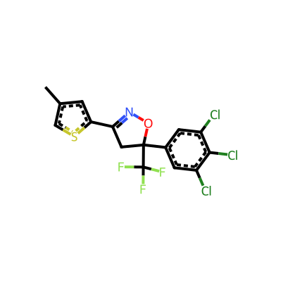 Cc1csc(C2=NOC(c3cc(Cl)c(Cl)c(Cl)c3)(C(F)(F)F)C2)c1